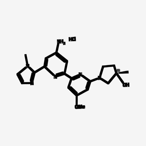 COc1cc(-c2cc(N)cc(-c3nccn3C)n2)nc(N2CC[C@@](C)(O)C2)c1.Cl